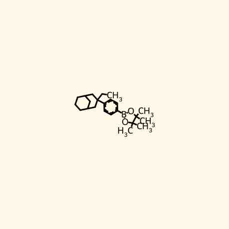 CCC1(c2ccc(B3OC(C)(C)C(C)(C)O3)cc2)CC2CCCC(C2)C1